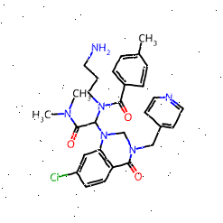 Cc1ccc(C(=O)N(CCCN)C(C(=O)N(C)C)N2CN(Cc3ccncc3)C(=O)c3ccc(Cl)cc32)cc1